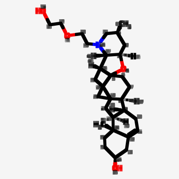 C[C@H]1C[C@H]2OC34CC[C@H]5[C@@H]6CC=C7C[C@@H](O)CC[C@]7(C)[C@H]6CC56CC63C[C@@H]4[C@@H]2N(CCOCCO)C1